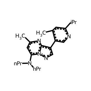 CCCN(CCC)c1cc(C)nc2c(-c3cnc(C(C)C)cc3C)cnn12